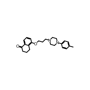 Cc1ccc(N2CCN(CCCOc3cccc4c3CCCC4=O)CC2)cc1